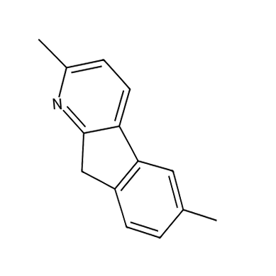 Cc1ccc2c(c1)-c1ccc(C)nc1C2